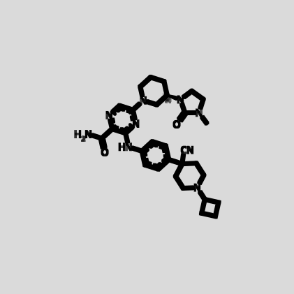 CN1CCN([C@@H]2CCCN(c3cnc(C(N)=O)c(Nc4ccc(C5(C#N)CCN(C6CCC6)CC5)cc4)n3)C2)C1=O